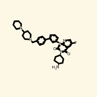 N[C@H]1CC[C@@H](n2c(=O)c3cc(F)cnc3n(-c3cccc(-c4ccc(CN5CCC(N6CCCCC6)CC5)cc4)c3)c2=O)CC1